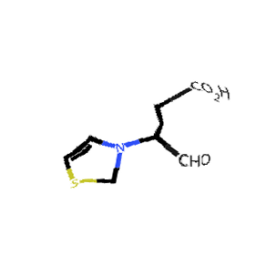 O=CC(CC(=O)O)N1C=CSC1